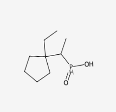 CCC1(C(C)[PH](=O)O)CCCC1